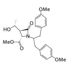 COC(=O)[C@@H]1[C@@H]([C@@H](C)O)C(=O)N1C(Cc1ccc(OC)cc1)Cc1ccc(OC)cc1